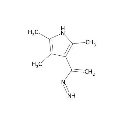 C=C(N=N)c1c(C)[nH]c(C)c1C